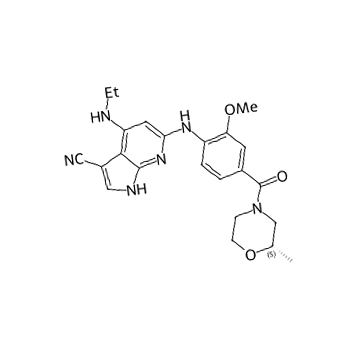 CCNc1cc(Nc2ccc(C(=O)N3CCO[C@@H](C)C3)cc2OC)nc2[nH]cc(C#N)c12